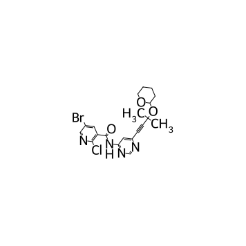 CC(C)(C#Cc1cc(NC(=O)c2cc(Br)cnc2Cl)ncn1)OC1CCCCO1